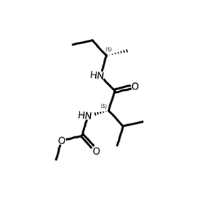 CC[C@H](C)NC(=O)[C@@H](NC(=O)OC)C(C)C